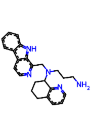 NCCCN(Cc1nccc2c1[nH]c1ccccc12)C1CCCc2cccnc21